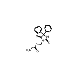 NCC(=O)SCN1C(=O)NC(c2ccccc2)(c2ccccc2)C1=O